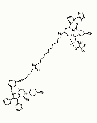 Cc1ncsc1-c1cccc([C@H](CC(=O)NCCCCCCCCCCCNC(=O)CCCCC#Cc2cccc(Cn3c(-c4ccccc4)c(-c4ccccc4)c4c(=N)n(C5CCC(O)CC5)cnc43)c2)NC(=O)[C@@H]2C[C@@H](O)CN2C(=O)C(NC(=O)C2(F)CC2)C(C)(C)C)c1